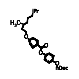 CCCCCCCCCCOc1ccc(OC(=O)c2ccc(OCC[C@@H](C)CCCC(C)C)cc2)cc1